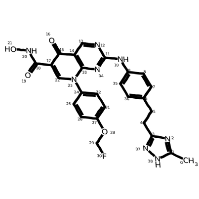 Cc1nc(CCc2ccc(Nc3ncc4c(=O)c(C(=O)NO)cn(-c5ccc(OCF)cc5)c4n3)cc2)n[nH]1